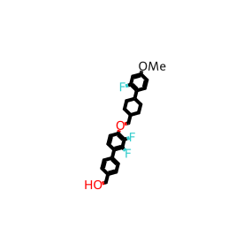 COc1ccc(C2CCC(COc3ccc(-c4ccc(CO)cc4)c(F)c3F)CC2)c(F)c1